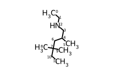 CCNCC(C)CC(C)(C)CC